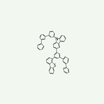 c1ccc(-c2cccc(-c3cc(-c4ccc5c(c4)c4ccccc4n5-c4cccc(-c5cccc(-c6ccccc6)c5)c4)cc(-c4cccc5c4sc4ccccc45)c3)c2)cc1